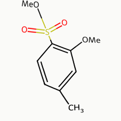 COc1cc(C)ccc1S(=O)(=O)OC